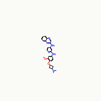 COc1cc(Nc2cc(Nc3cnc4ccccc4n3)ccn2)ccc1OC1CC(N(C)C)C1